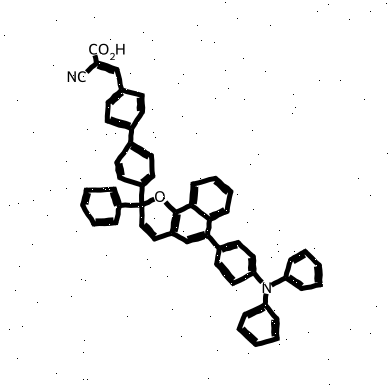 N#C/C(=C\c1ccc(-c2ccc(C3(c4ccccc4)C=Cc4cc(-c5ccc(N(c6ccccc6)c6ccccc6)cc5)c5ccccc5c4O3)cc2)cc1)C(=O)O